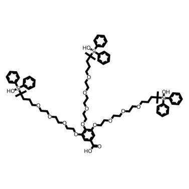 CC(C)(CCCOCCOCCOCCOc1cc(C(=O)O)cc(OCCOCCOCCOCCCC(C)(C)[Si](O)(c2ccccc2)c2ccccc2)c1OCCOCCOCCOCCCC(C)(C)[Si](O)(c1ccccc1)c1ccccc1)[Si](O)(c1ccccc1)c1ccccc1